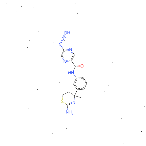 CC1(c2cccc(NC(=O)c3cnc(N=[N+]=N)cn3)c2)CCSC(N)=N1